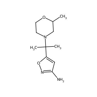 CC1CN(C(C)(C)c2cc(N)no2)CCO1